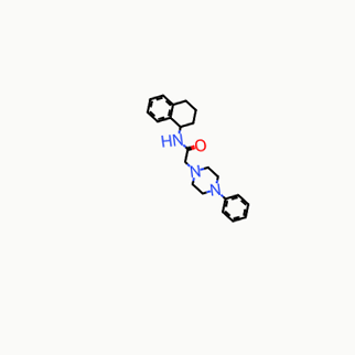 O=C(CN1CCN(c2ccccc2)CC1)NC1CCCc2ccccc21